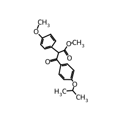 COC(=O)C(C(=O)c1ccc(OC(C)C)cc1)c1ccc(OC)cc1